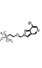 C[Si](C)(C)CCOCn1cc2cncc(Br)c2n1